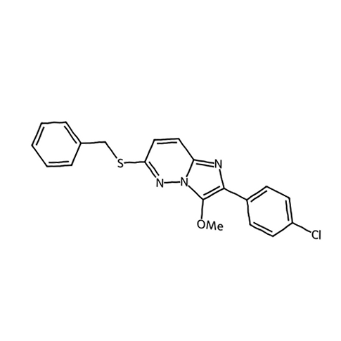 COc1c(-c2ccc(Cl)cc2)nc2ccc(SCc3ccccc3)nn12